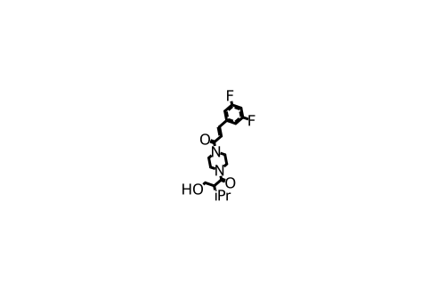 CC(C)C(CO)C(=O)N1CCN(C(=O)/C=C/c2cc(F)cc(F)c2)CC1